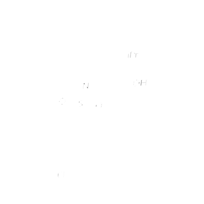 C/C=C/CN(C(CO)CC(C)C)S(=O)(=O)c1ccc(Cl)cc1